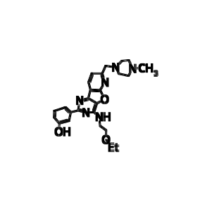 CCOCCNc1nc(-c2cccc(O)c2)nc2c1oc1nc(CN3CCN(C)CC3)ccc12